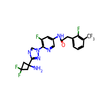 NC1(c2ncn(-c3ncc(NC(=O)Cc4cccc(C(F)(F)F)c4F)cc3F)n2)CC(F)(F)C1